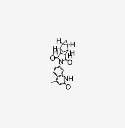 Cc1cc(=O)[nH]c2cc(N3C(=O)[C@@H]4[C@H]5C[C@H]([C@@H]6C[C@@H]65)[C@@H]4C3=O)ccc12